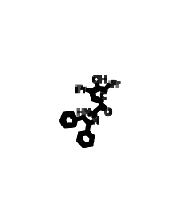 CC(C)c1cc(C(=O)C2=NC(c3ccccc3)C(c3ccccc3)N2)cc(C(C)C)c1O